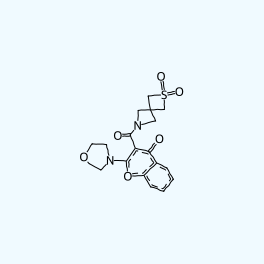 O=C(c1c(N2CCOCC2)oc2ccccc2c1=O)N1CC2(C1)CS(=O)(=O)C2